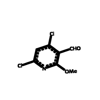 COc1nc(Cl)cc(Cl)c1C=O